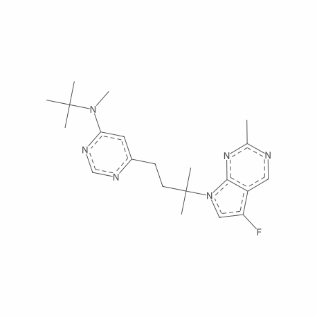 Cc1ncc2c(F)cn(C(C)(C)CCc3cc(N(C)C(C)(C)C)ncn3)c2n1